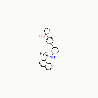 C[C@@H](NC1CCCC(c2ccc(C3(O)CCCC3)cc2)C1)c1cccc2ccccc12